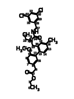 CCOC(=O)Cc1ccc(OC)c(-c2ccc(C)cc2CN(CC)C(=O)NCc2cc(Cl)cc(Cl)c2)c1